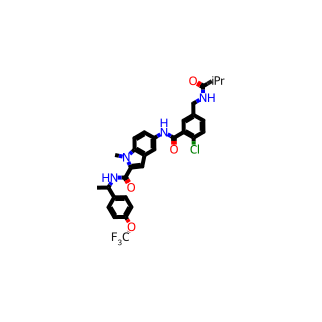 CC(C)C(=O)NCc1ccc(Cl)c(C(=O)Nc2ccc3c(c2)cc(C(=O)NC(C)c2ccc(OC(F)(F)F)cc2)n3C)c1